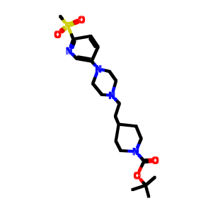 CC(C)(C)OC(=O)N1CCC(CCN2CCN(c3ccc(S(C)(=O)=O)nc3)CC2)CC1